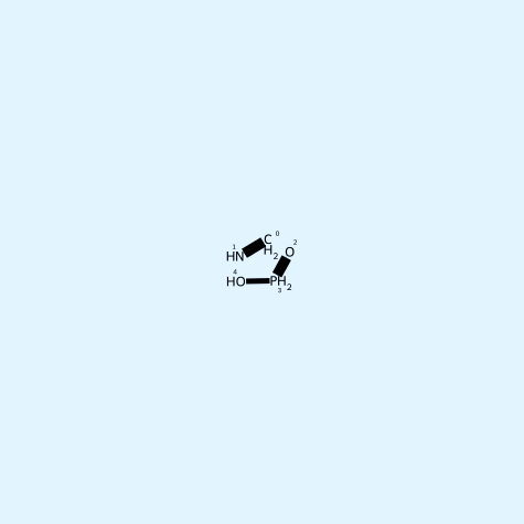 C=N.O=[PH2]O